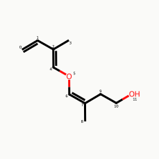 C=CC(C)=COC=C(C)CCO